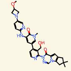 COC1CN(c2ccc(Nc3cc(-c4ccnc(-n5ncn6c7c(cc6c5=O)CC(C)(C)C7)c4CO)cn(C)c3=O)nc2)C1